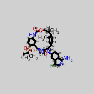 CC[C@H](C)S(=O)(=O)c1ccc2cc1CN(C)C(=O)[C@H](Nc1ccc3c(N)ncc(F)c3c1)c1ccc(c(C)c1)[C@@H](C)COC(=O)N2